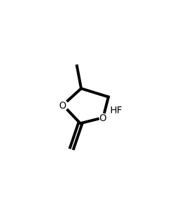 C=C1OCC(C)O1.F